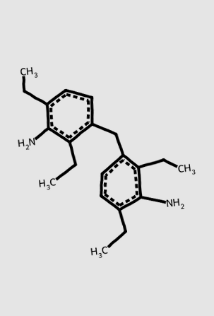 CCc1ccc(Cc2ccc(CC)c(N)c2CC)c(CC)c1N